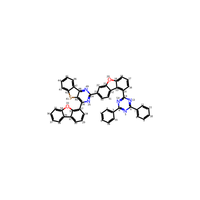 c1ccc(-c2nc(-c3ccccc3)nc(-c3cccc4oc5cc(-c6nc(-c7cccc8c7oc7ccccc78)c7sc8ccccc8c7n6)ccc5c34)n2)cc1